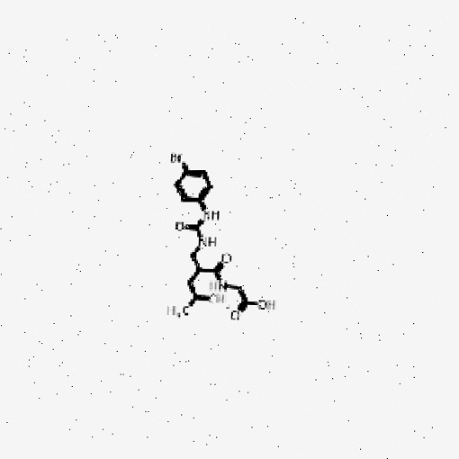 CC(C)CC(CNC(=O)Nc1ccc(Br)cc1)C(=O)NCC(=O)O